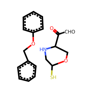 O=CC(=O)C1COC(S)CN1.c1ccc(COc2ccccc2)cc1